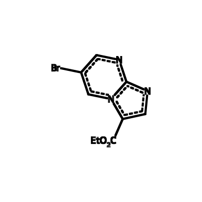 CCOC(=O)c1cnc2ncc(Br)cn12